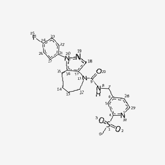 CS(=O)(=O)c1cc(CNC(=O)N2CCCCc3c2cnn3-c2ccc(F)cc2)ccn1